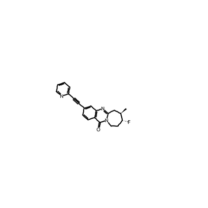 C[C@@H]1Cc2nc3cc(C#Cc4ccccn4)ccc3c(=O)n2CC[C@H]1F